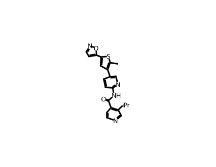 Cc1sc(-c2ccno2)cc1-c1ccc(NC(=O)c2ccncc2C(C)C)nc1